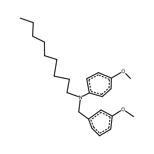 CCCCCCCCCN(Cc1cccc(OC)c1)c1ccc(OC)cc1